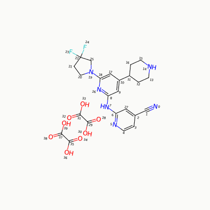 N#Cc1ccnc(Nc2cc(C3CCNCC3)cc(N3CCC(F)(F)C3)n2)c1.O=C(O)C(=O)O.O=C(O)C(=O)O